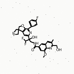 COc1cc(C(=O)NCC(O)(c2cc3c(c(-c4ccc(F)cc4)n2)OCC3(CF)CF)C(F)F)cc2cc(C)c(CO)nc12